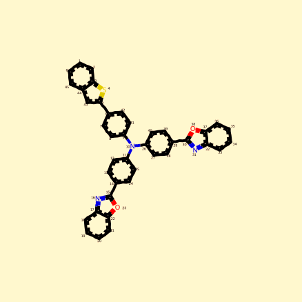 c1ccc2sc(-c3ccc(N(c4ccc(-c5nc6ccccc6o5)cc4)c4ccc(-c5nc6ccccc6o5)cc4)cc3)cc2c1